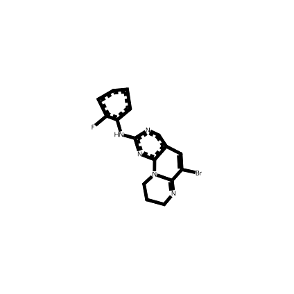 Fc1ccccc1Nc1ncc2c(n1)N1CCCN=C1C(Br)=C2